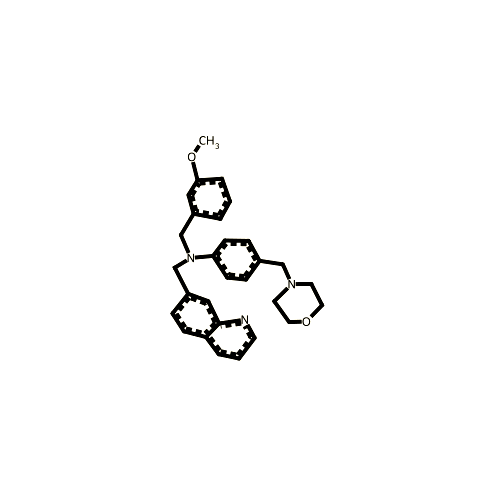 COc1cccc(CN(Cc2ccc3cccnc3c2)c2ccc(CN3CCOCC3)cc2)c1